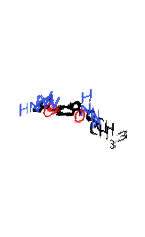 CN(C)c1ccc(NC(=O)c2cccc3cc(Oc4ncnc5[nH]ccc45)ccc23)cn1